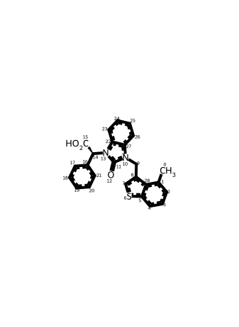 Cc1cccc2scc(Cn3c(=O)n([C@H](C(=O)O)c4ccccc4)c4ccccc43)c12